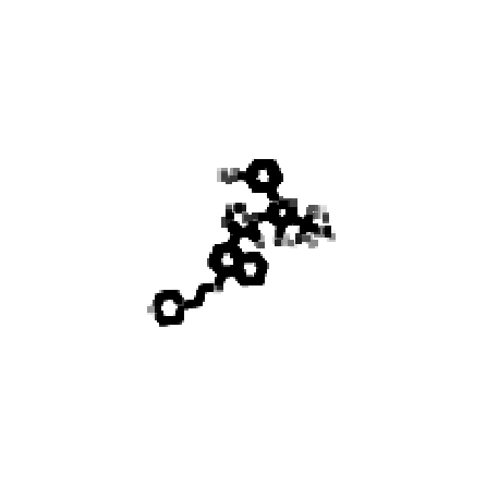 Cc1cccc(-n2nc(C(C)(C)C)c(C)c2NC(=O)/C(=N\O)c2ccc(OCCN3CCOCC3)c3ccccc23)c1